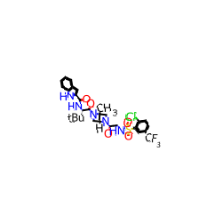 CC(C)(C)[C@H](NC(=O)c1cc2ccccc2[nH]1)C(=O)N1C[C@H]2N(C(=O)CNS(=O)(=O)c3cc(C(F)(F)F)ccc3Cl)CC21C